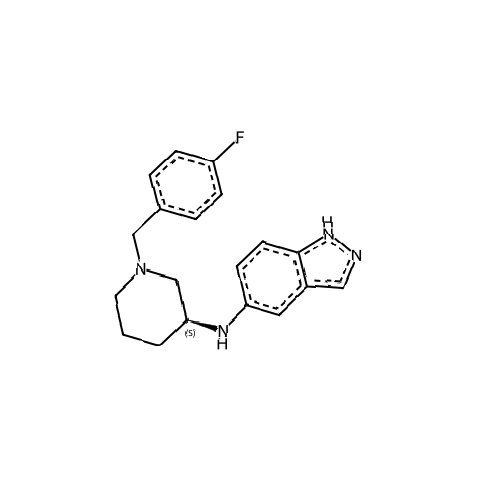 Fc1ccc(CN2CCC[C@H](Nc3ccc4[nH]ncc4c3)C2)cc1